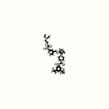 CCN(CC)CCOC(=O)Nc1cc(COc2nsnc2N2CCN(C(=O)Nc3cc(C(F)(F)F)cc(C(F)(F)F)c3)CC2)ccn1